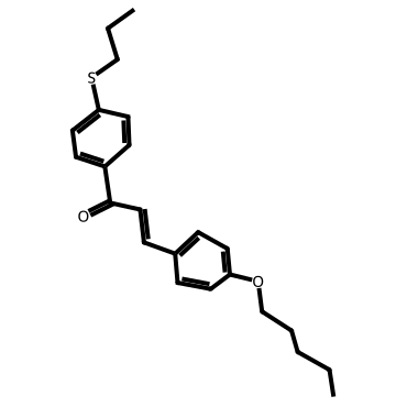 CCCCCOc1ccc(C=CC(=O)c2ccc(SCCC)cc2)cc1